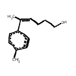 C/C(=C/CCCO)c1ccc(C)cc1